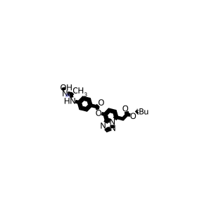 C/C(=N\O)Nc1ccc(C(=O)Oc2ccc(CC(=O)OC(C)(C)C)n3ncnc23)cc1